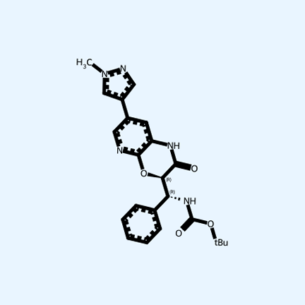 Cn1cc(-c2cnc3c(c2)NC(=O)[C@@H]([C@H](NC(=O)OC(C)(C)C)c2ccccc2)O3)cn1